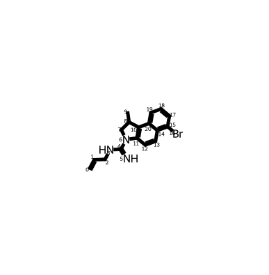 C=CCNC(=N)N1CC(C)c2c1ccc1c(Br)cccc21